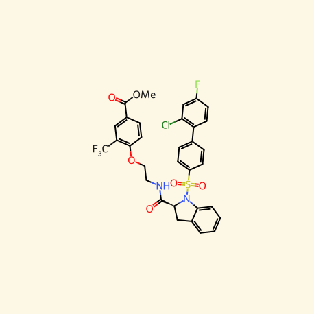 COC(=O)c1ccc(OCCNC(=O)[C@@H]2Cc3ccccc3N2S(=O)(=O)c2ccc(-c3ccc(F)cc3Cl)cc2)c(C(F)(F)F)c1